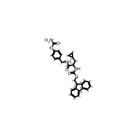 NC(=O)Oc1ccc(CNC(=O)C(CC2CC2)NC(=O)OCC2c3ccccc3-c3ccccc32)cc1